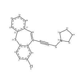 Clc1ccc2c(c1)C(C#CCN1CCCC1)=Cc1ccccc1S2